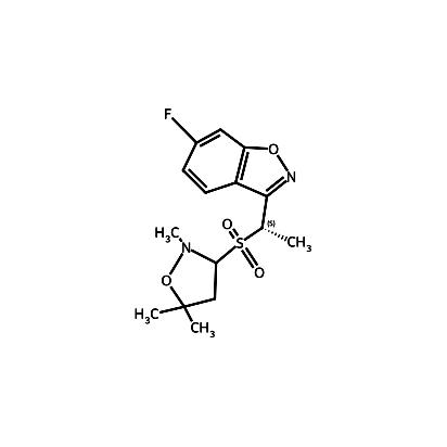 C[C@@H](c1noc2cc(F)ccc12)S(=O)(=O)C1CC(C)(C)ON1C